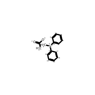 CC(=O)[O-].C[Si+](c1ccccc1)c1ccccc1